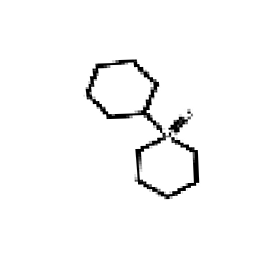 S=P1(C2CCCCC2)CCCCC1